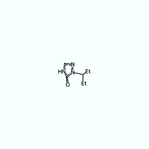 CCC(CC)n1nc[nH]c1=O